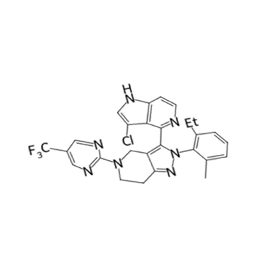 CCc1cccc(C)c1-n1nc2c(c1-c1nccc3[nH]cc(Cl)c13)CN(c1ncc(C(F)(F)F)cn1)CC2